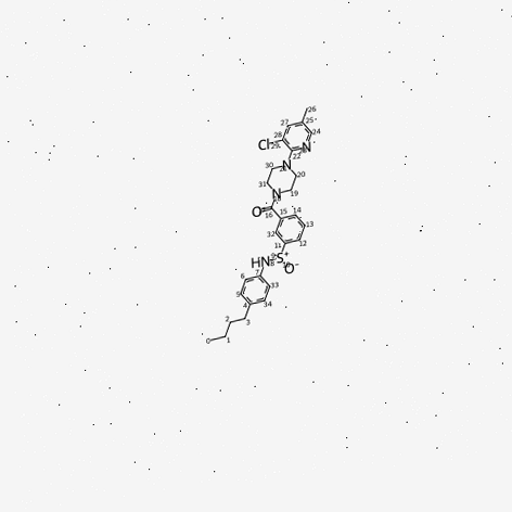 CCCCc1ccc(N[S+]([O-])c2cccc(C(=O)N3CCN(c4ncc(C)cc4Cl)CC3)c2)cc1